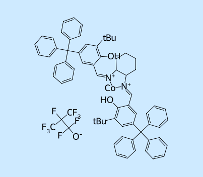 CC(C)(C)c1cc(C(c2ccccc2)(c2ccccc2)c2ccccc2)cc(C=[N+]2[Co][N+](=Cc3cc(C(c4ccccc4)(c4ccccc4)c4ccccc4)cc(C(C)(C)C)c3O)C3CCCCC32)c1O.[O-]C(F)(F)C(F)(C(F)(F)F)C(F)(F)F